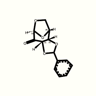 O=C1[C@H]2OC[C@@H](O2)[C@@H]2OC(c3ccccc3)O[C@H]12